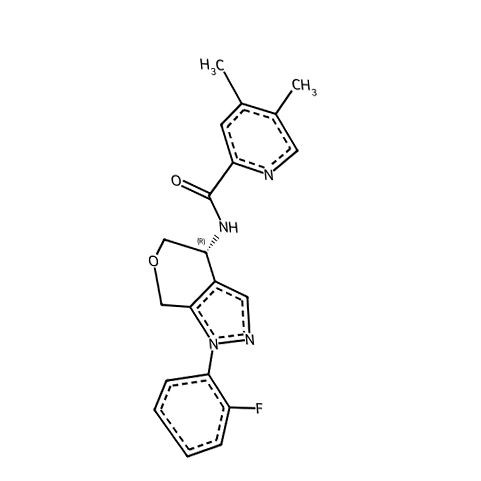 Cc1cnc(C(=O)N[C@H]2COCc3c2cnn3-c2ccccc2F)cc1C